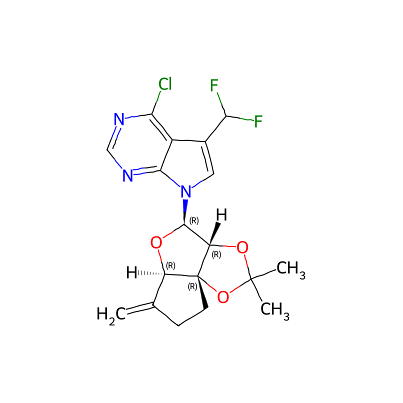 C=C1CC[C@]23OC(C)(C)O[C@H]2[C@H](n2cc(C(F)F)c4c(Cl)ncnc42)O[C@H]13